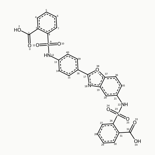 O=C(O)c1ccccc1S(=O)(=O)Nc1ccc(-c2nc3cc(NS(=O)(=O)c4ccccc4C(=O)O)ccc3o2)cc1